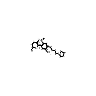 C=Nc1cc(CCCCN2CCCC2)c(N)cc1C1=C(C)CCC(C)N1